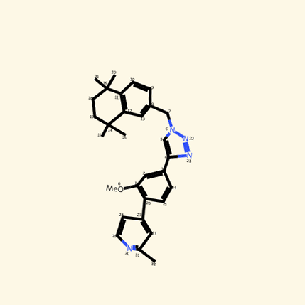 COc1cc(-c2cn(Cc3ccc4c(c3)C(C)(C)CCC4(C)C)nn2)ccc1-c1ccnc(C)c1